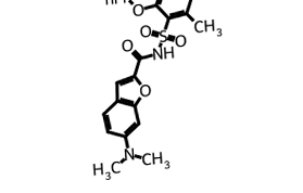 CCCOc1cccc(C)c1S(=O)(=O)NC(=O)c1cc2ccc(N(C)C)cc2o1